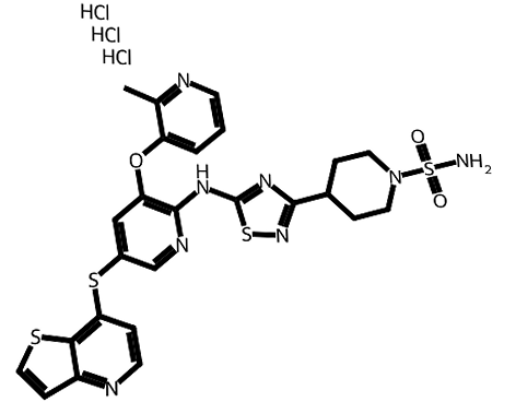 Cc1ncccc1Oc1cc(Sc2ccnc3ccsc23)cnc1Nc1nc(C2CCN(S(N)(=O)=O)CC2)ns1.Cl.Cl.Cl